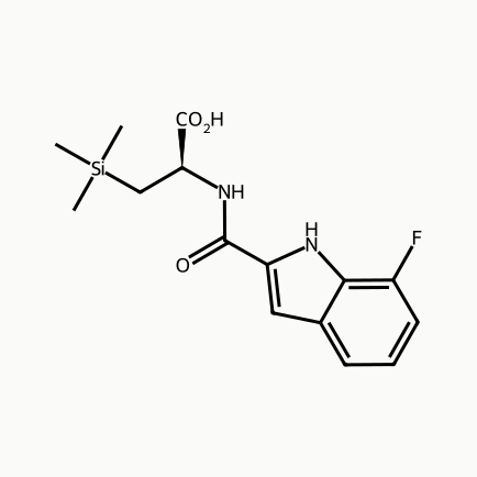 C[Si](C)(C)C[C@H](NC(=O)c1cc2cccc(F)c2[nH]1)C(=O)O